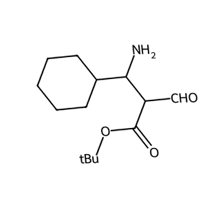 CC(C)(C)OC(=O)C(C=O)C(N)C1CCCCC1